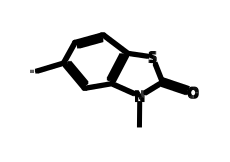 [CH2]c1ccc2sc(=O)n(C)c2c1